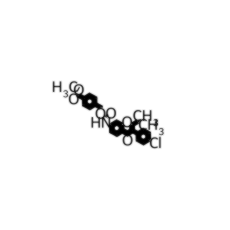 COC(=O)c1ccc(COC(=O)Nc2ccc3c(=O)c(-c4ccc(Cl)cc4)c(C(C)C)oc3c2)cc1